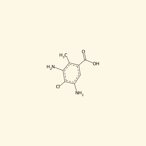 Cc1c(C(=O)O)cc(N)c(Cl)c1N